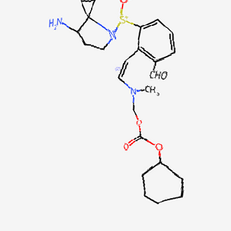 CN(/C=C\c1c(C=O)cccc1[S+]([O-])N1CCC(N)C12CC2)COC(=O)OC1CCCCC1